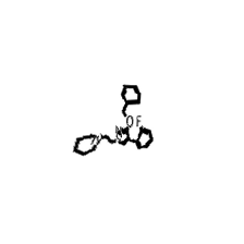 Fc1ccccc1-c1cn(CCN2CCCCC2)nc1OCc1ccccc1